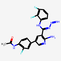 CC(=O)Nc1ccc(-c2cnc(N)c(/C(=N/N=N)Nc3cccc(F)c3F)c2)cc1F